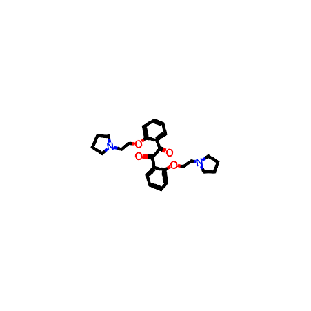 O=C(C(=O)c1ccccc1OCCN1CCCC1)c1ccccc1OCCN1CCCC1